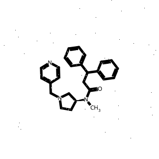 CN(C(=O)CC(c1ccccc1)c1ccccc1)[C@H]1CCN(Cc2ccncc2)C1